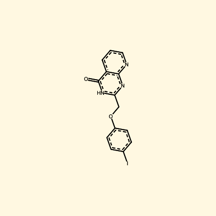 O=c1[nH]c(COc2ccc(I)cc2)nc2ncccc12